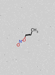 CC=CON=O